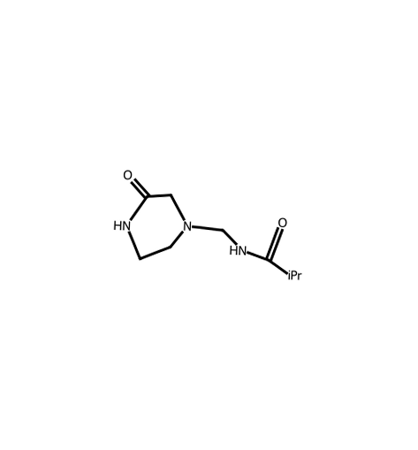 CC(C)C(=O)NCN1CCNC(=O)C1